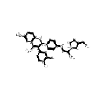 CC1=C(c2ccc(Cl)c(F)c2)C(c2ccc(OCC(C)N3CCC(CF)C3)cc2)Oc2ccc(O)cc21